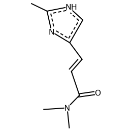 Cc1nc(C=CC(=O)N(C)C)c[nH]1